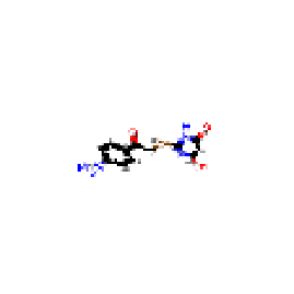 Nc1ccc(C(=O)CSc2nc(O)cc(=O)[nH]2)cc1